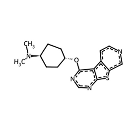 CN(C)[C@H]1CC[C@H](Oc2ncnc3sc4cnccc4c23)CC1